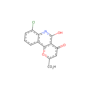 O=C(O)c1cc(=O)c2c(O)nc3c(Cl)cccc3c2o1